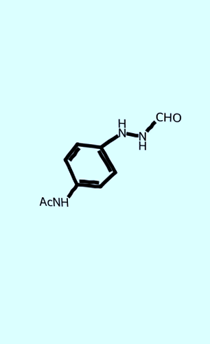 [CH2]C(=O)Nc1ccc(NNC=O)cc1